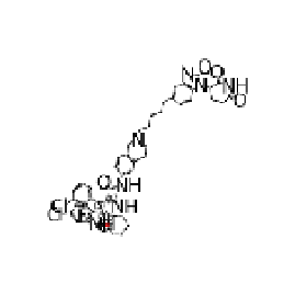 Cn1c(=O)n(C2CCC(=O)NC2=O)c2ccc(CCCCCN3CCc4cc(NC(=O)[C@@H]5NC6(CCCCC6)[C@@]6(C(=O)Nc7cc(Cl)ccc76)[C@H]5c5cccc(Cl)c5F)ccc4C3)cc21